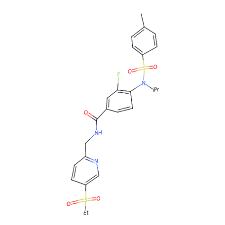 CCS(=O)(=O)c1ccc(CNC(=O)c2ccc(N(C(C)C)S(=O)(=O)c3ccc(C)cc3)c(F)c2)nc1